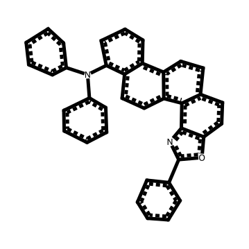 c1ccc(-c2nc3c(ccc4ccc5c6cccc(N(c7ccccc7)c7ccccc7)c6ccc5c43)o2)cc1